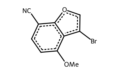 COc1ccc(C#N)c2occ(Br)c12